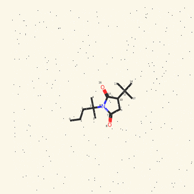 CCCC(C)(C)N1C(=O)CC(C(C)(C)C)C1=O